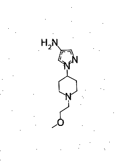 COCCN1CCC(n2cc(N)cn2)CC1